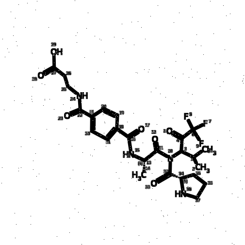 CC(C)C(C(=O)C(F)(F)F)N(C(=O)[C@H](C)NC(=O)c1ccc(C(=O)NCCC(=O)O)cc1)C(=O)[C@@H]1CCCN1